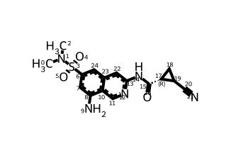 CN(C)S(=O)(=O)c1cc(N)c2cnc(NC(=O)[C@@H]3CC3C#N)cc2c1